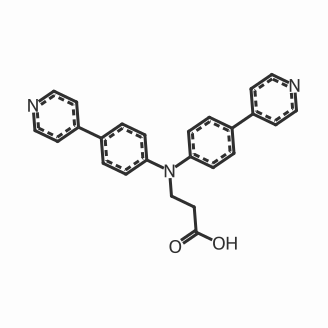 O=C(O)CCN(c1ccc(-c2ccncc2)cc1)c1ccc(-c2ccncc2)cc1